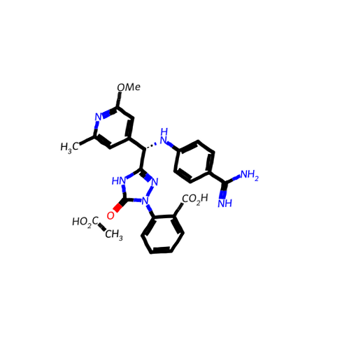 CC(=O)O.COc1cc([C@H](Nc2ccc(C(=N)N)cc2)c2nn(-c3ccccc3C(=O)O)c(=O)[nH]2)cc(C)n1